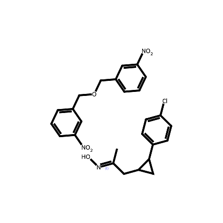 C/C(CC1CC1c1ccc(Cl)cc1)=N\O.O=[N+]([O-])c1cccc(COCc2cccc([N+](=O)[O-])c2)c1